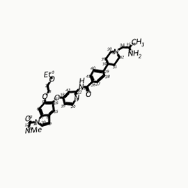 CCOCCOc1cc2c(ccn2C(=O)NC)cc1Oc1ccnc(NC(=O)c2ccc(C3CCN(CC(C)N)CC3)cc2)c1